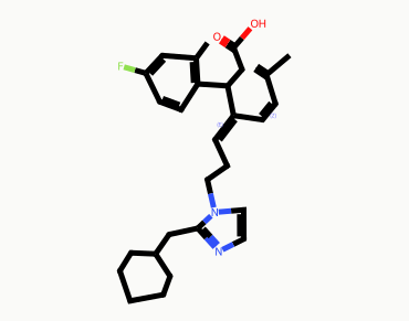 C=C(C)/C=C\C(=C/CCn1ccnc1CC1CCCCC1)C(CC(=O)O)c1ccc(F)cc1C